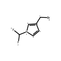 FC(F)n1ccc(CBr)c1